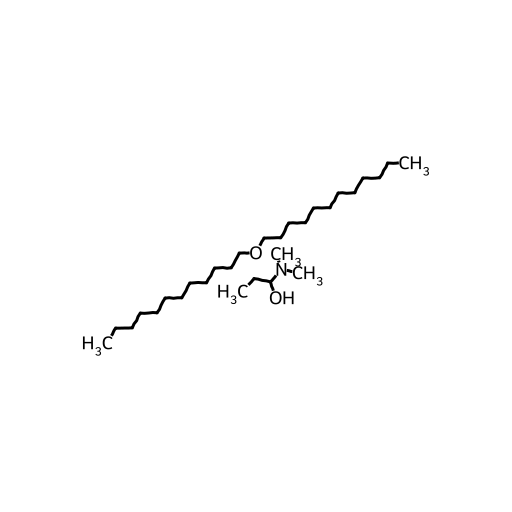 CCC(O)N(C)C.CCCCCCCCCCCCOCCCCCCCCCCCC